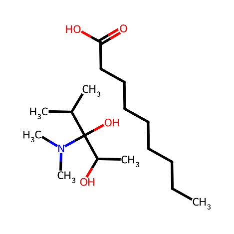 CC(C)C(O)(C(C)O)N(C)C.CCCCCCCCC(=O)O